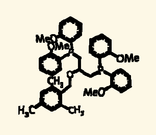 COc1ccccc1P(CC(CP(c1ccccc1OC)c1ccccc1OC)OCc1c(C)cc(C)cc1C)c1ccccc1OC